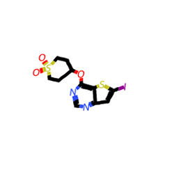 O=S1(=O)CCC(Oc2ncnc3cc(I)sc23)CC1